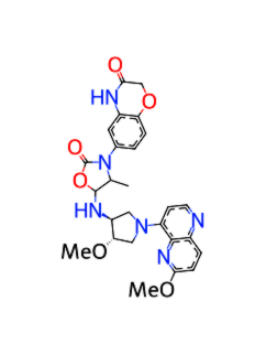 COc1ccc2nccc(N3C[C@H](NC4OC(=O)N(c5ccc6c(c5)NC(=O)CO6)C4C)[C@@H](OC)C3)c2n1